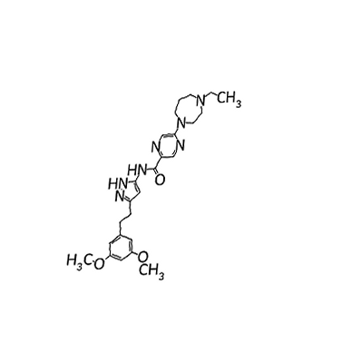 CCN1CCCN(c2cnc(C(=O)Nc3cc(CCc4cc(OC)cc(OC)c4)n[nH]3)cn2)CC1